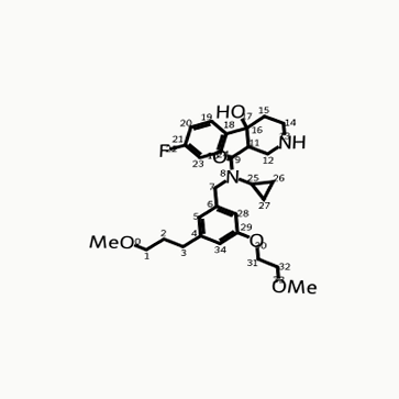 COCCCc1cc(CN(C(=O)C2CNCCC2(O)c2ccc(F)cc2)C2CC2)cc(OCCOC)c1